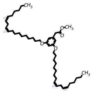 CCCCC/C=C\C/C=C\CCCCCCCCCOc1cc(CC(=O)OC)cc(OCCCCCCCC/C=C\C/C=C\CCCCC)c1